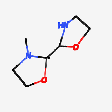 CN1CCO[C]1C1NCCO1